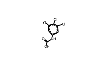 O=C(O)Nc1cc(Cl)c(Cl)c(Cl)c1